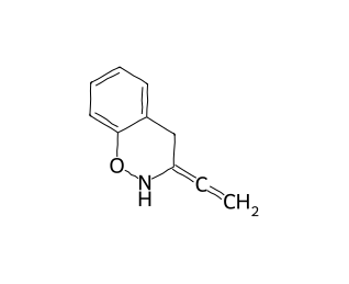 C=C=C1Cc2ccccc2ON1